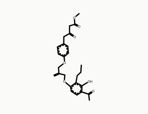 C=C(COc1ccc(CC(=O)CC(=O)OC)cc1)COc1ccc(C(C)=O)c(O)c1CCC